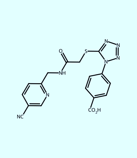 N#Cc1ccc(CNC(=O)CSc2nnnn2-c2ccc(C(=O)O)cc2)nc1